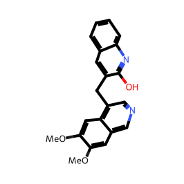 COc1cc2cncc(Cc3cc4ccccc4nc3O)c2cc1OC